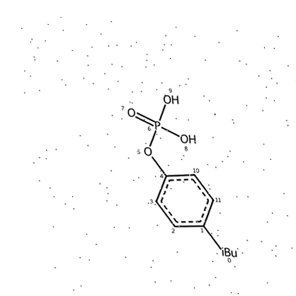 CCC(C)c1ccc(OP(=O)(O)O)cc1